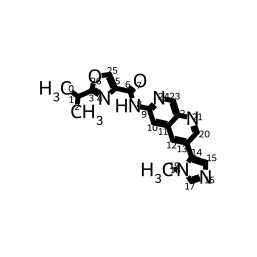 CC(C)c1nc(C(=O)Nc2cc3cc(-c4cncn4C)cnc3cn2)co1